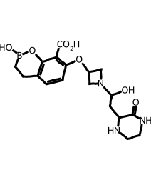 O=C(O)c1c(OC2CN(C(O)CC3NCCNC3=O)C2)ccc2c1OB(O)CC2